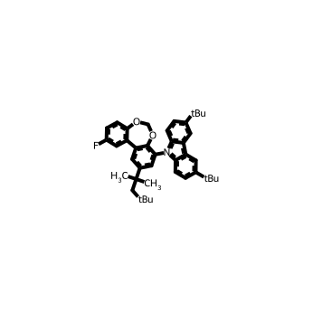 CC(C)(C)CC(C)(C)c1cc2c(c(-n3c4ccc(C(C)(C)C)cc4c4cc(C(C)(C)C)ccc43)c1)OCOc1ccc(F)cc1-2